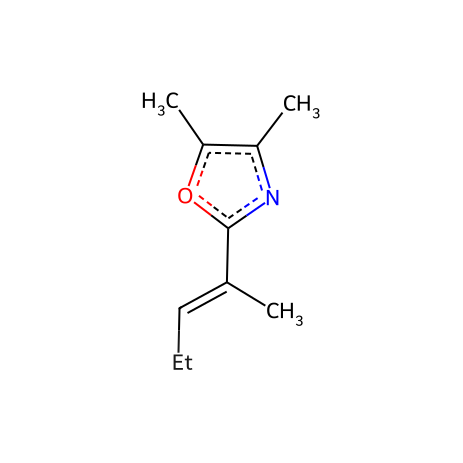 CC/C=C(\C)c1nc(C)c(C)o1